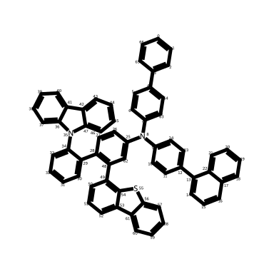 c1ccc(-c2ccc(N(c3ccc(-c4cccc5ccccc45)cc3)c3ccc(-c4ccccc4-n4c5ccccc5c5ccccc54)c(-c4cccc5c4sc4ccccc45)c3)cc2)cc1